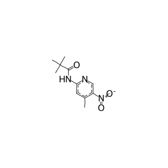 Cc1cc(NC(=O)C(C)(C)C)ncc1[N+](=O)[O-]